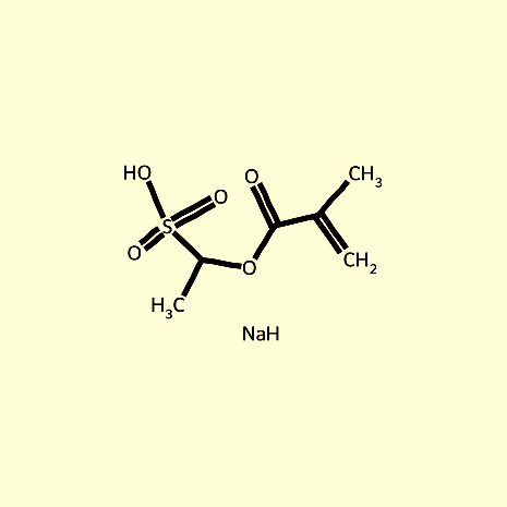 C=C(C)C(=O)OC(C)S(=O)(=O)O.[NaH]